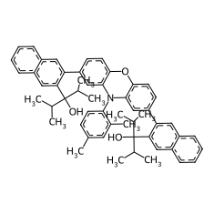 Cc1ccc(N2c3cc(-c4cc5ccccc5cc4C(O)(C(C)C)C(C)C)ccc3Oc3ccc(-c4cc5ccccc5cc4C(O)(C(C)C)C(C)C)cc32)c(C)c1